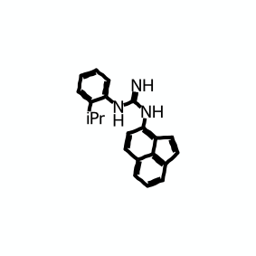 CC(C)c1ccccc1NC(=N)Nc1ccc2cccc3c2c1C=C3